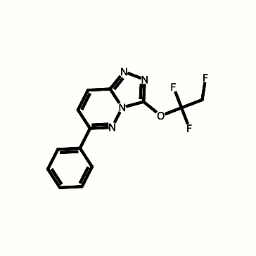 FCC(F)(F)Oc1nnc2ccc(-c3ccccc3)nn12